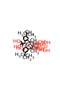 CC(C)(C)c1ccc(OC(c2ccc(C(C)(C)C)cc2C(C)(C)C)C(CO)(CO)CO)c(C(C)(C)C)c1.OP(O)OP(O)O.OP(O)OP(O)O